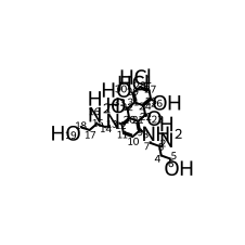 Cl.Cl.NC(CCO)CNc1ccc(NCC(N)CCO)c2c1C(=O)c1c(O)ccc(O)c1C2=O